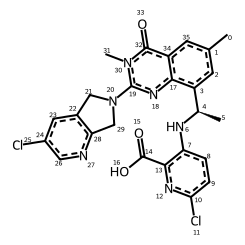 Cc1cc([C@@H](C)Nc2ccc(Cl)nc2C(=O)O)c2nc(N3Cc4cc(Cl)cnc4C3)n(C)c(=O)c2c1